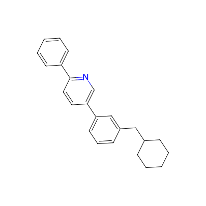 c1ccc(-c2ccc(-c3cccc(CC4CCCCC4)c3)cn2)cc1